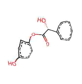 O=C(Oc1ccc(O)cc1)[C@H](O)c1ccccc1